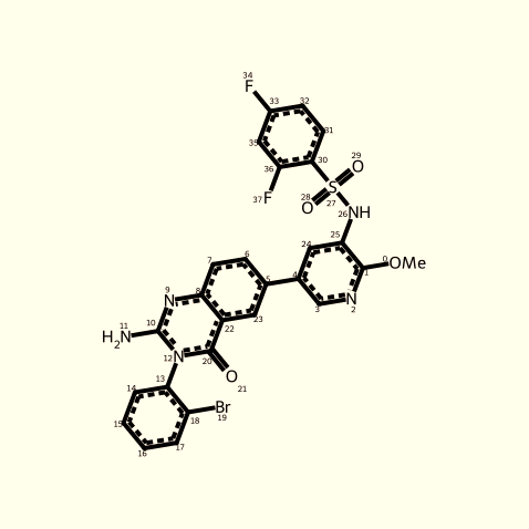 COc1ncc(-c2ccc3nc(N)n(-c4ccccc4Br)c(=O)c3c2)cc1NS(=O)(=O)c1ccc(F)cc1F